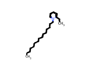 CCCCCCCCCCCCCCC[n+]1ccccc1CC